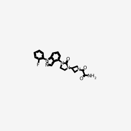 NC(=O)C(=O)N1CC(N2CCN(c3cccc4c3cnn4-c3ccccc3F)C2=O)C1